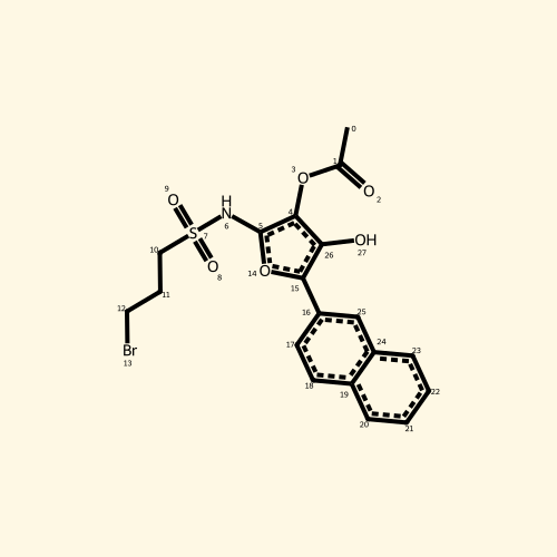 CC(=O)Oc1c(NS(=O)(=O)CCCBr)oc(-c2ccc3ccccc3c2)c1O